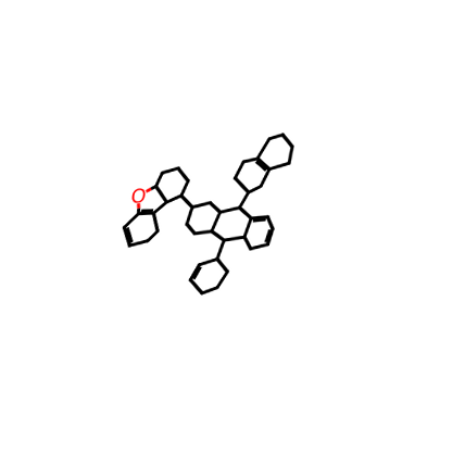 C1=CCC2C(=C1)C(C1CCC3=C(CCCC3)C1)C1CC(C3CCCC4OC5=C(CCC=C5)C43)CCC1C2C1C=CCCC1